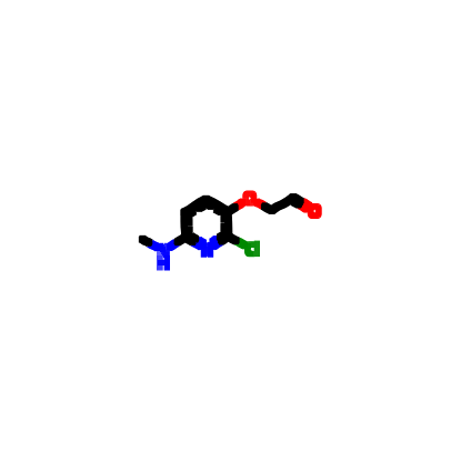 CNc1ccc(OCC=O)c(Cl)n1